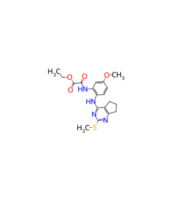 CCOC(=O)C(=O)Nc1cc(OC)ccc1Nc1nc(SC)nc2c1CCC2